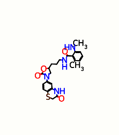 CNc1cccc(C)c1C(=O)NCCCC1CN(c2ccc3c(c2)NC(=O)CS3)C(=O)O1